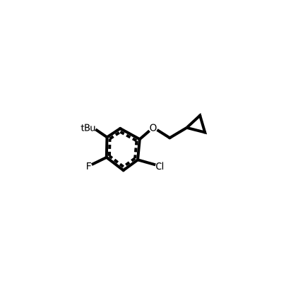 CC(C)(C)c1cc(OCC2CC2)c(Cl)cc1F